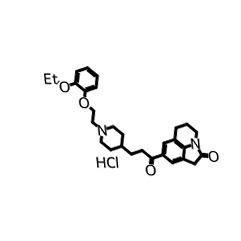 CCOc1ccccc1OCCN1CCC(CCC(=O)c2cc3c4c(c2)CC(=O)N4CCC3)CC1.Cl